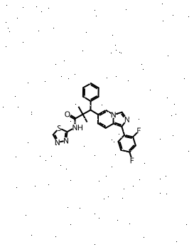 CC(C)(C(=O)Nc1nncs1)C(c1ccccc1)c1ccc2c(-c3ccc(F)cc3F)ncn2c1